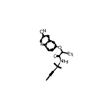 CC#CC(C)(C)NC(=O)C(CC)Oc1ccc2ncc(C#N)cc2c1